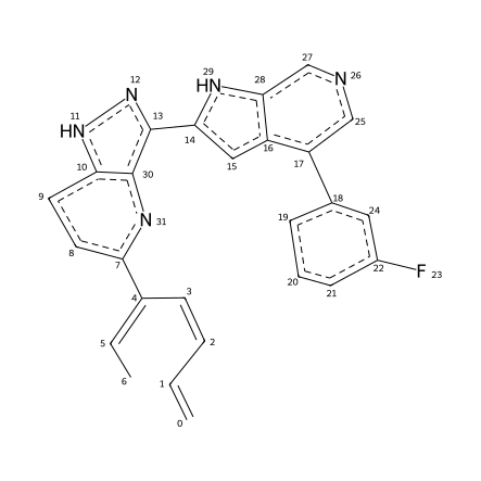 C=C/C=C\C(=C/C)c1ccc2[nH]nc(-c3cc4c(-c5cccc(F)c5)cncc4[nH]3)c2n1